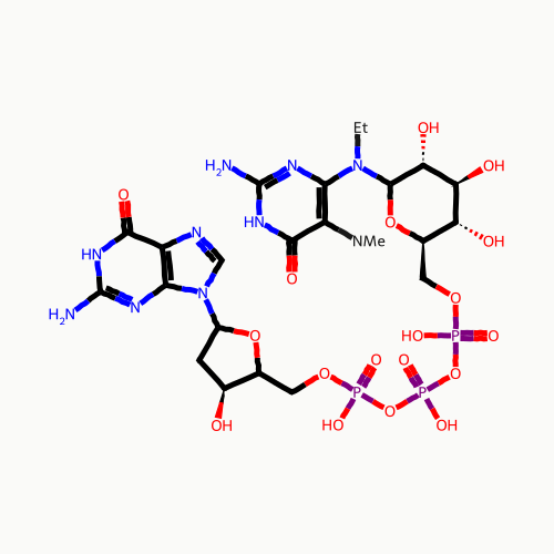 CCN(c1nc(N)[nH]c(=O)c1NC)C1O[C@H](COP(=O)(O)OP(=O)(O)OP(=O)(O)OCC2OC(n3cnc4c(=O)[nH]c(N)nc43)C[C@@H]2O)[C@@H](O)[C@H](O)[C@H]1O